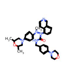 CC1CN(c2ccc(N(C)N(C(=O)NCc3ccc(N4CCOCC4)cc3)c3cccc4cnccc34)cc2)CC(C)O1